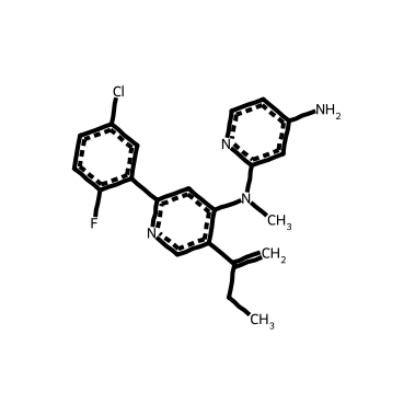 C=C(CC)c1cnc(-c2cc(Cl)ccc2F)cc1N(C)c1cc(N)ccn1